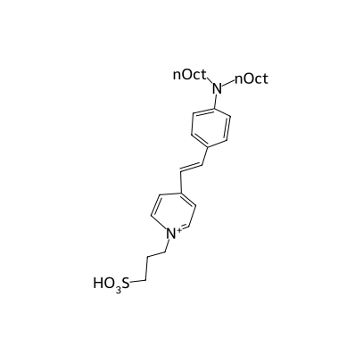 CCCCCCCCN(CCCCCCCC)c1ccc(/C=C/c2cc[n+](CCCS(=O)(=O)O)cc2)cc1